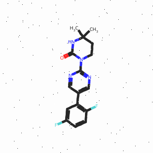 CC1(C)CCN(c2ncc(-c3cc(F)ccc3F)cn2)C(=O)N1